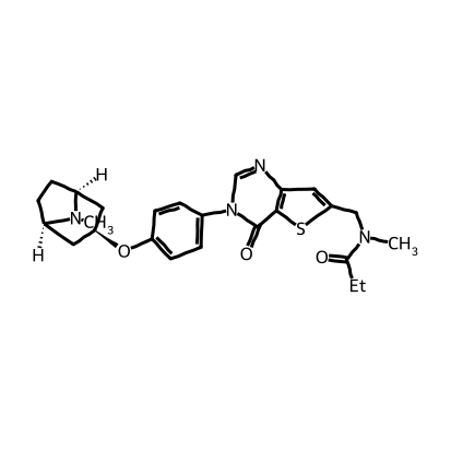 CCC(=O)N(C)Cc1cc2ncn(-c3ccc(O[C@H]4C[C@H]5CC[C@@H](C4)N5C)cc3)c(=O)c2s1